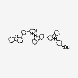 CC(C)(C)c1ccc(-n2c3ccccc3c3cc(-c4ccc5c(c4)c4ccccc4n5-c4nccc(-c5cccc(-c6cccc7c6oc6ccccc67)c5)n4)ccc32)cc1